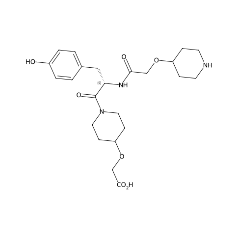 O=C(O)COC1CCN(C(=O)[C@H](Cc2ccc(O)cc2)NC(=O)COC2CCNCC2)CC1